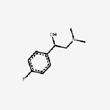 [CH2]N(C)CC(O)c1ccc(F)cc1